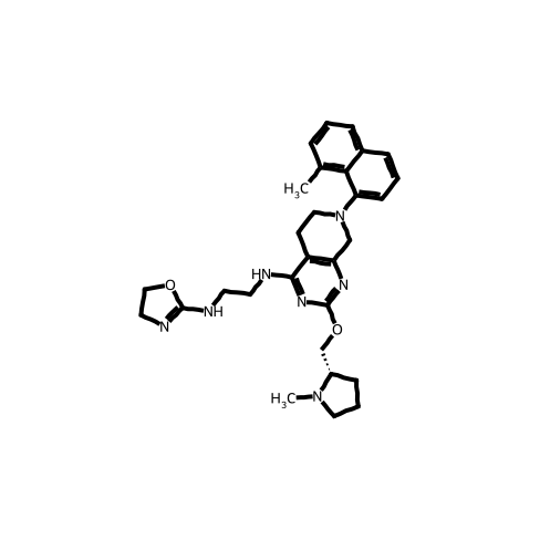 Cc1cccc2cccc(N3CCc4c(nc(OC[C@@H]5CCCN5C)nc4NCCNC4=NCCO4)C3)c12